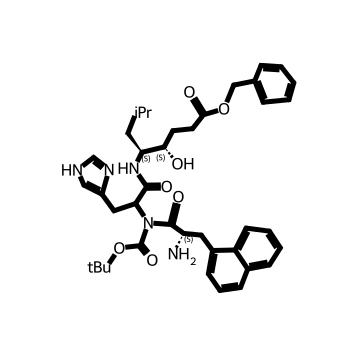 CC(C)C[C@H](NC(=O)C(Cc1c[nH]cn1)N(C(=O)OC(C)(C)C)C(=O)[C@@H](N)Cc1cccc2ccccc12)[C@@H](O)CCC(=O)OCc1ccccc1